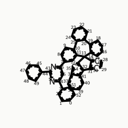 c1ccc(-c2cc(-c3ccc4c(c3)C3(c5ccccc5-c5ccccc5-4)c4ccccc4-c4c3ccc3ccccc43)nc(-c3ccccc3)n2)cc1